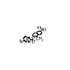 CCN(CC)c1ccc2c(c1)CCN(C(=O)c1cc3ccc(Br)cn3n1)C2C